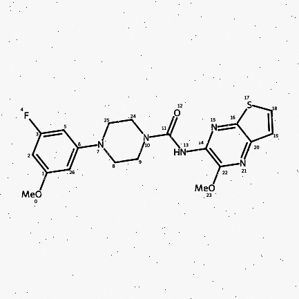 COc1cc(F)cc(N2CCN(C(=O)Nc3nc4sccc4nc3OC)CC2)c1